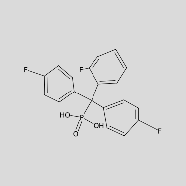 O=P(O)(O)C(c1ccc(F)cc1)(c1ccc(F)cc1)c1ccccc1F